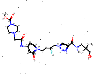 CC(C)(CO)CNC(=O)c1cn(CC(F)CCn2ccc(NC(=O)CN3CCN(C(=O)OC(C)(C)C)CC3)cc2=O)nn1